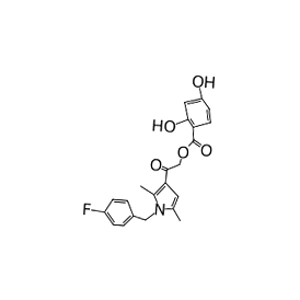 Cc1cc(C(=O)COC(=O)c2ccc(O)cc2O)c(C)n1Cc1ccc(F)cc1